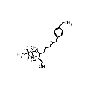 COc1ccc(COCCC[C@H](O[Si](C)(C)C(C)(C)C)[C@@H](C)CO)cc1